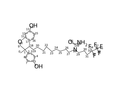 CC1(c2ccc(O)cc2)COc2cc(O)ccc2C1CCCCCCCCCN(CCCC(F)(F)C(F)(F)F)C(N)=O